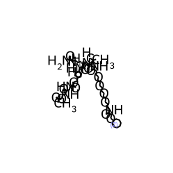 CC(=O)OCNC(=O)CNC(=O)OCc1ccc(NC(=O)[C@H](CCCNC(N)=O)NC(=O)[C@@H](NC(=O)CCOCCOCCOCCOCCNC(=O)COC2/C=C\CCCCC2)C(C)C)cc1